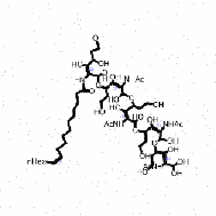 CCCCCC/C=C\CCCCCCCCCC(=O)N/C(=C(\O)C(O)CCO)C(O)OC(CCO)/C(O)=C(/NC(C)=O)C(O)OC(CCO)/C(O)=C(/NC(C)=O)C(O)OC(CCO)/C(O)=C(/NC(C)=O)C(O)OC(CCO)/C(O)=C(\NC(C)=O)C(O)O